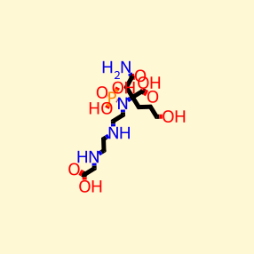 NC(=O)CC(CCCO)(C(=O)O)N(CCNCCNCC(=O)O)P(=O)(O)O